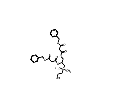 C[N+](C)(CCO)CC(COC(=O)CC(=O)OCc1ccccc1)OC(=O)CC(=O)OCc1ccccc1